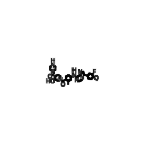 COc1ccc(-c2cnc3c(Nc4ccc(C(=O)N5CC[C@H](C(=O)N6CCNCC6)[C@@H](O)C5)c(C)c4)nccn23)cc1F